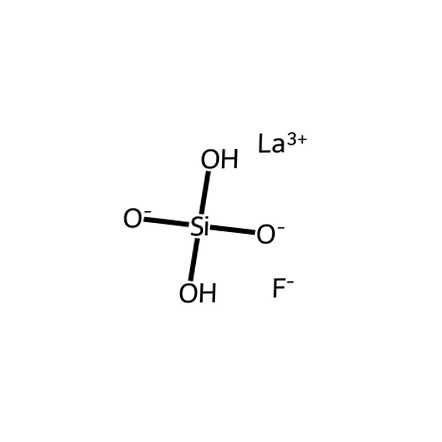 [F-].[La+3].[O-][Si]([O-])(O)O